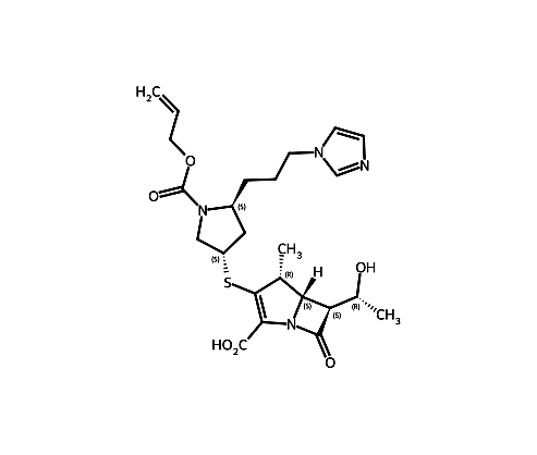 C=CCOC(=O)N1C[C@@H](SC2=C(C(=O)O)N3C(=O)[C@H]([C@@H](C)O)[C@H]3[C@H]2C)C[C@@H]1CCCn1ccnc1